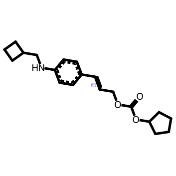 O=C(OC/C=C/c1ccc(NCC2CCC2)cc1)OC1CCCC1